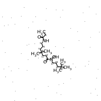 CCC(=O)NCCCC(C)(C)CCC(=O)N(O)CCCC(C)(C)C